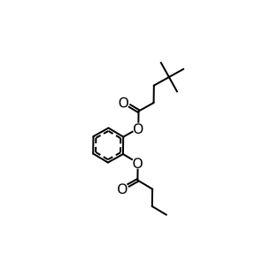 CCCC(=O)Oc1ccccc1OC(=O)CCC(C)(C)C